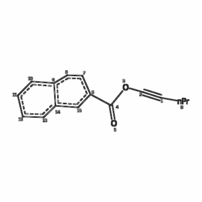 CCCC#COC(=O)c1ccc2ccccc2c1